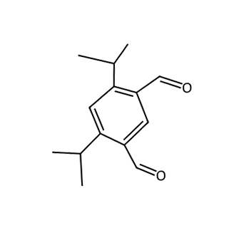 CC(C)c1cc(C(C)C)c(C=O)cc1C=O